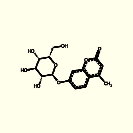 Cc1cc(=O)oc2cc(O[C@@H]3O[C@@H](CO)[C@@H](O)[C@H](O)[C@H]3O)ccc12